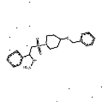 O=C(O)NC(CS(=O)(=O)N1CCC(OCc2ccccn2)CC1)c1ccccc1